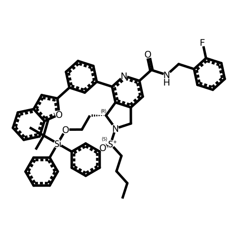 CCCC[S@@+]([O-])N1Cc2cc(C(=O)NCc3ccccc3F)nc(-c3cccc(-c4cc5ccccc5o4)c3)c2[C@H]1CCO[Si](c1ccccc1)(c1ccccc1)C(C)(C)C